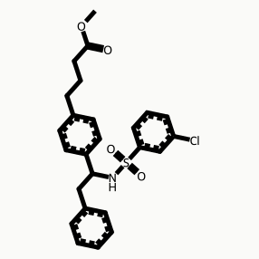 COC(=O)CCCc1ccc(C(Cc2ccccc2)NS(=O)(=O)c2cccc(Cl)c2)cc1